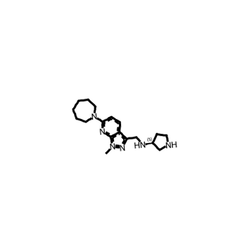 Cn1nc(CN[C@H]2CCNC2)c2ccc(N3CCCCCC3)nc21